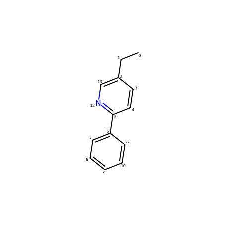 CCc1ccc(-c2ccccc2)nc1